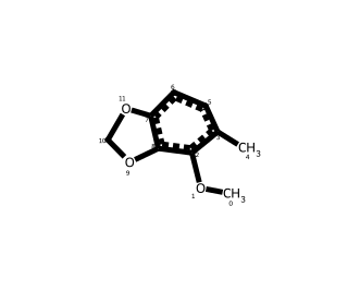 COc1c(C)ccc2c1OCO2